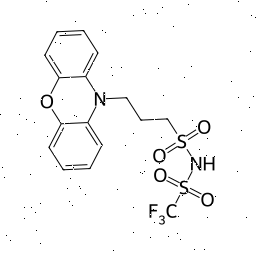 O=S(=O)(CCCN1c2ccccc2Oc2ccccc21)NS(=O)(=O)C(F)(F)F